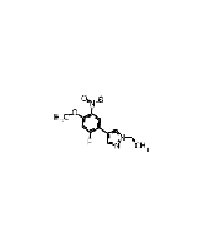 CCn1cc(-c2cc([N+](=O)[O-])c(OC)cc2F)cn1